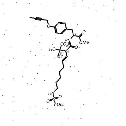 CC#CCOc1ccc(C[C@H](NC(=O)[C@@H](/C=C/CCCCCNS(=O)(=O)CCCCCCCC)[C@@](O)(CCC)C(=O)O)C(=O)OC)cc1